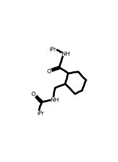 CC(C)NC(=O)C1CCCCC1CNC(=O)C(C)C